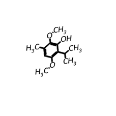 COc1cc(C)c(OC)c(O)c1C(C)C